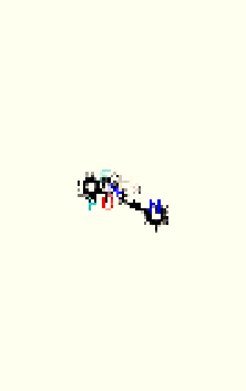 CN(CCC#Cc1ccccn1)C(=O)c1c(F)cccc1F